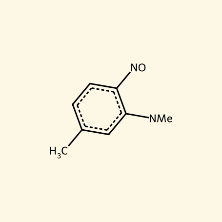 CNc1cc(C)ccc1N=O